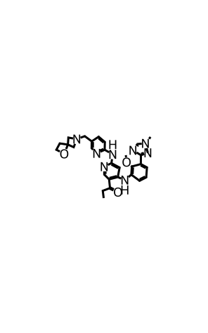 CCC(=O)c1cnc(Nc2ccc(CN3CC4(CCO4)C3)cn2)cc1Nc1cccc(-c2ncn(C)n2)c1OC